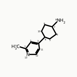 Cc1cc(C2CCC(N)CC2)ccn1